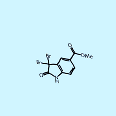 COC(=O)c1ccc2c(c1)C(Br)(Br)C(=O)N2